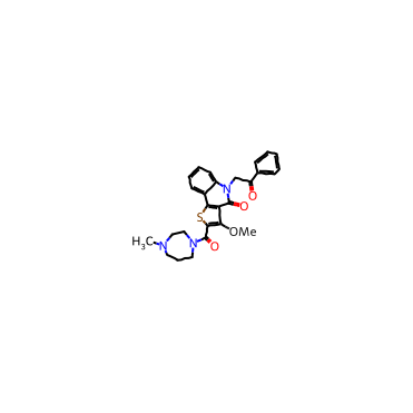 COc1c(C(=O)N2CCCN(C)CC2)sc2c1c(=O)n(CC(=O)c1ccccc1)c1ccccc21